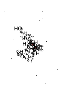 C#Cc1cccc2cc(OCOC)cc(-c3c(F)cc4c(N5CC6CCC(C5)N6C(=O)OC(C)(C)C)nc(OCC5(CN6CCC(CCO)CC6)CC5)nc4c3F)c12